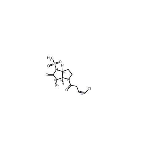 CC(C)[C@H]1C(=O)N(S(C)(=O)=O)[C@H]2CCN(C(=O)C/C=C\Cl)[C@H]12